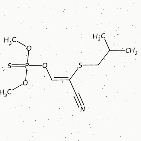 COP(=S)(OC)OC=C(C#N)SCC(C)C